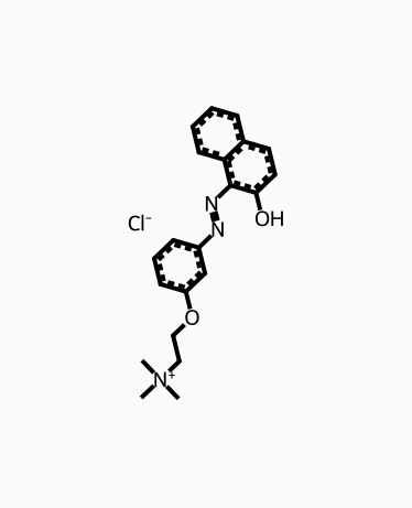 C[N+](C)(C)CCOc1cccc(N=Nc2c(O)ccc3ccccc23)c1.[Cl-]